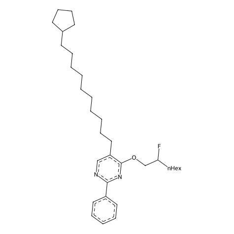 CCCCCCC(F)COc1nc(-c2ccccc2)ncc1CCCCCCCCCCC1CCCC1